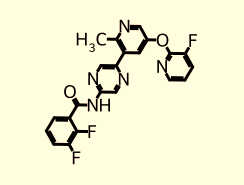 Cc1ncc(Oc2ncccc2F)cc1-c1cnc(NC(=O)c2cccc(F)c2F)cn1